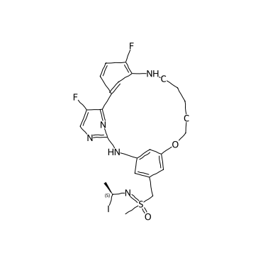 C[C@H](I)N=S(C)(=O)Cc1cc2cc(c1)OCCCCCNc1cc(ccc1F)-c1nc(ncc1F)N2